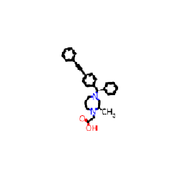 C[C@@H]1CN([C@H](c2ccccc2)c2ccc(C#Cc3ccccc3)cc2)CCCN1CC(=O)O